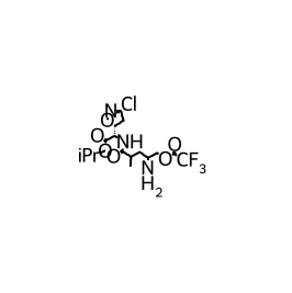 CC(C)OC(=O)C(NC(=O)C(C)CC(N)COC(=O)C(F)(F)F)[C@H]1CC(Cl)=NO1